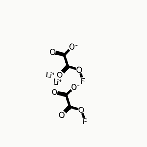 O=C([O-])C(=O)OF.O=C([O-])C(=O)OF.[Li+].[Li+]